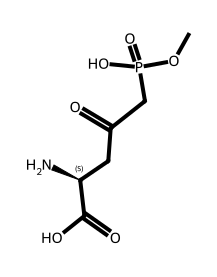 COP(=O)(O)CC(=O)C[C@H](N)C(=O)O